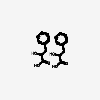 O=C(O)C(O)Cc1ccccc1.O=C(O)C(O)Cc1ccccc1